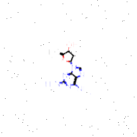 C=C1OC(n2cnc3c(N)nc(N)nc32)C[C@@H]1O